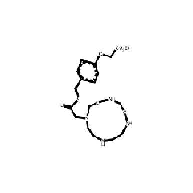 CCOC(=O)COc1ccc(COC(=O)CN2CCNCCNCCNCC2)cc1